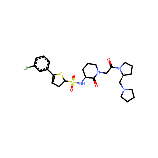 O=C1[C@@H](NS(=O)(=O)C2CC=C(c3cccc(Cl)c3)S2)CCCN1CC(=O)N1CCC[C@H]1CN1CCCC1